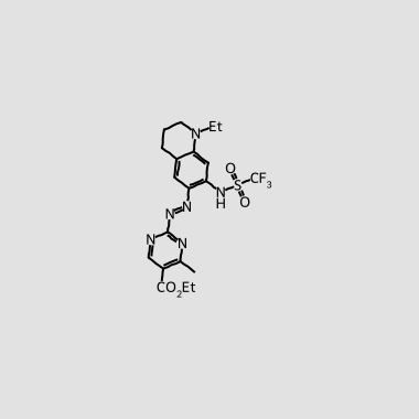 CCOC(=O)c1cnc(N=Nc2cc3c(cc2NS(=O)(=O)C(F)(F)F)N(CC)CCC3)nc1C